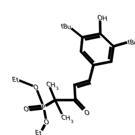 CCOP(=O)(OCC)C(C)(C)C(=O)/C=C/c1cc(C(C)(C)C)c(O)c(C(C)(C)C)c1